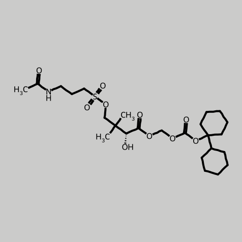 CC(=O)NCCCS(=O)(=O)OCC(C)(C)[C@@H](O)C(=O)OCOC(=O)OC1(C2CCCCC2)CCCCC1